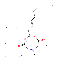 CCC/C=C/CB1OC(=O)CN(C)CC(=O)O1